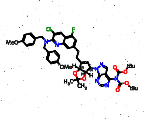 COc1ccc(CN(Cc2ccc(OC)cc2)c2nc3cc(CCC4=C[C@@H](n5ncc6c(N(C(=O)OC(C)(C)C)C(=O)OC(C)(C)C)ncnc65)[C@@H]5OC(C)(C)O[C@H]45)cc(F)c3cc2Cl)cc1